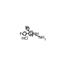 Cl.NCCCNc1ncc(-c2ccc(F)cc2)c(-c2ccncc2)n1